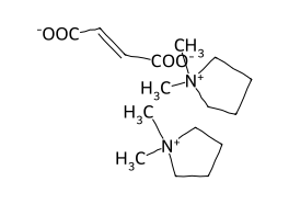 C[N+]1(C)CCCC1.C[N+]1(C)CCCC1.O=C([O-])C=CC(=O)[O-]